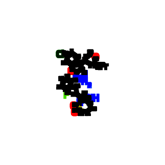 CC(C)C1CC([C@H](c2ccc(Cl)cc2)[C@H](N)C(=O)Nc2cccc(F)c2CCC2CNC3CCCS(=O)(=O)N2C3)CCO1